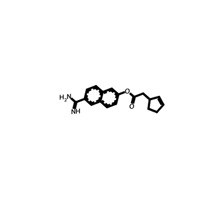 N=C(N)c1ccc2cc(OC(=O)CC3C=CCC3)ccc2c1